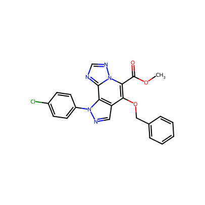 COC(=O)c1c(OCc2ccccc2)c2cnn(-c3ccc(Cl)cc3)c2c2ncnn12